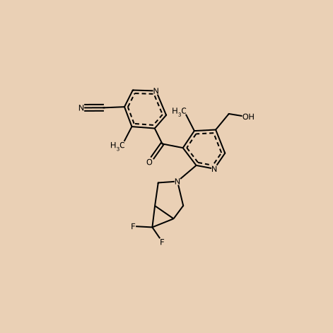 Cc1c(C#N)cncc1C(=O)c1c(N2CC3C(C2)C3(F)F)ncc(CO)c1C